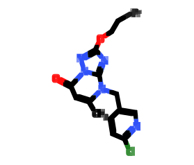 Cc1cc(=O)n2nc(OCCC(C)C)nc2n1Cc1ccc(Cl)nc1